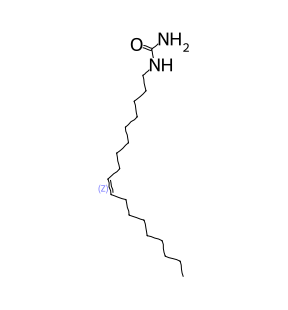 CCCCCCCC/C=C\CCCCCCCCNC(N)=O